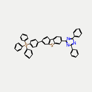 c1ccc(-c2nc(-c3ccccc3)nc(-c3ccc4c(c3)sc3cc(-c5ccc(S(c6ccccc6)(c6ccccc6)c6ccccc6)cc5)ccc34)n2)cc1